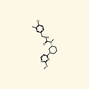 COc1nccc(N2CCC[C@@H](N(C)C(=O)NCc3ccc(Cl)c(C)c3)C2)n1